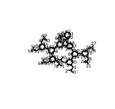 CC(C)Cc1cc(CC(C)C)cc(-c2cc(-c3cc(CC(C)C)cc(CC(C)C)c3)cc(-c3ccc4c(c3)c3cc(-c5cc(-c6cc(CC(C)C)cc(CC(C)C)c6)cc(-c6cc(CC(C)C)cc(CC(C)C)c6)c5)ccc3n4-c3ccccc3C(C)(C)C)c2)c1